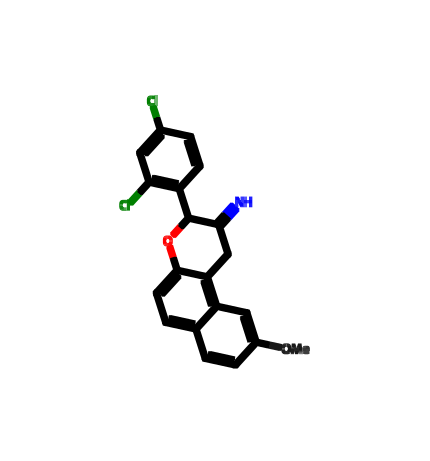 COc1ccc2ccc3c(c2c1)CC(=N)C(c1ccc(Cl)cc1Cl)O3